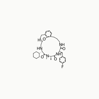 C[C@@H]1C(=O)N[C@H](Cc2ccc(F)cc2)C(=O)NCCCc2cccc3c2O[C@H](CC3)CN[C@@H](C2CCCCC2)C(=O)N1C